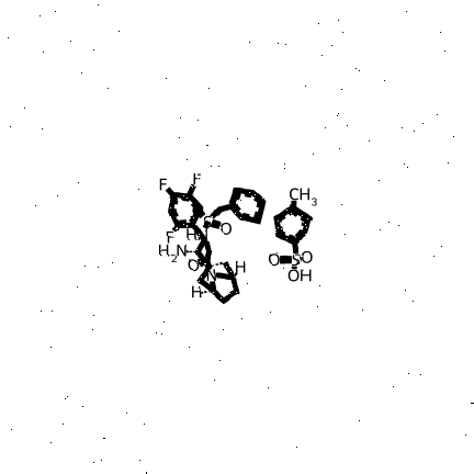 Cc1ccc(S(=O)(=O)O)cc1.N[C@H](Cc1cc(F)c(F)cc1F)[C@@H]1C[C@H]2CC[C@@H](C1)N2C(=O)CNS(=O)(=O)Cc1ccccc1